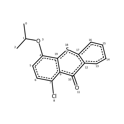 CC(C)Oc1ccc(Cl)c2c(=O)c3ccccc3sc12